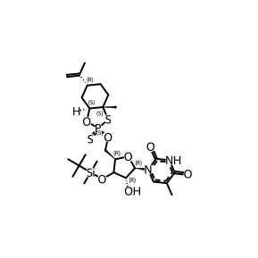 C=C(C)[C@@H]1CC[C@]2(C)S[P@@](=S)(OC[C@H]3O[C@@H](n4cc(C)c(=O)[nH]c4=O)[C@H](O)C3O[Si](C)(C)C(C)(C)C)O[C@H]2C1